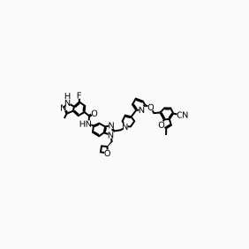 Cc1cc2c(C#N)ccc(COc3cccc(C4=CCN(Cc5nc6cc(NC(=O)c7cc(F)c8[nH]nc(C)c8c7)ccc6n5C[C@@H]5CCO5)CC4)n3)c2o1